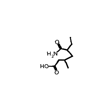 CCC(CC(C)CC(=O)O)C(N)=O